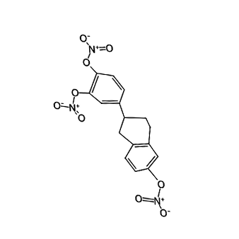 O=[N+]([O-])Oc1ccc2c(c1)CCC(c1ccc(O[N+](=O)[O-])c(O[N+](=O)[O-])c1)C2